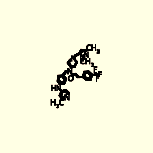 Cc1cc(Nc2ccc(CN(C(=O)/C=C/c3ccc(C(F)(F)F)cc3)C3CCN(Cc4cc(C)nn4C)CC3)cc2)ccn1